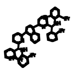 CC(C)c1ccccc1C(Nc1c(C(C)C)cccc1C(C)C)c1cccc(-c2ccc(-c3cccc(C(Nc4c(C(C)C)cccc4C(C)C)c4ccccc4C(C)C)n3)c3ccccc23)n1